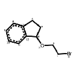 BrCCOC1CCc2ccccc21